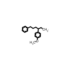 [CH2]CC(CCCc1ccccc1)c1ccc(OC)cc1